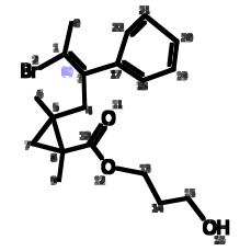 C/C(Br)=C(/CC1(C)CC1(C)C(=O)OCCCO)c1ccccc1